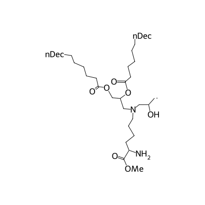 [CH2]C(O)CN(CCCCC(N)C(=O)OC)CC(COC(=O)CCCCCCCCCCCCCCC)OC(=O)CCCCCCCCCCCCCCC